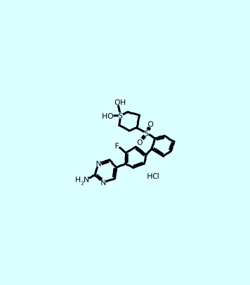 Cl.Nc1ncc(-c2ccc(-c3ccccc3S(=O)(=O)C3CCS(O)(O)CC3)cc2F)cn1